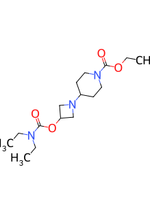 CCOC(=O)N1CCC(N2CC(OC(=O)N(CC)CC)C2)CC1